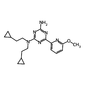 COc1cccc(-c2nc(N)nc(N(CCC3CC3)CCC3CC3)n2)n1